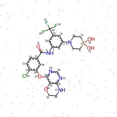 O=C(Nc1cc(N2CCS(O)(O)CC2)cc(C(F)(F)F)c1)c1ccc(Cl)c(Oc2ncnc3c2OCCN3)c1